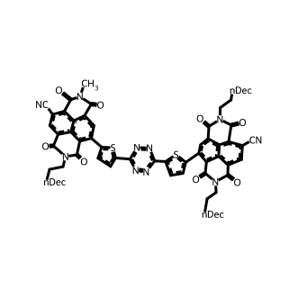 CCCCCCCCCCCCN1C(=O)c2cc(-c3ccc(-c4nnc(-c5ccc(-c6cc7c8c(c(C#N)cc9c8c6C(=O)N(CCCCCCCCCCCC)C9=O)C(=O)N(C)C7=O)s5)nn4)s3)c3c4c(cc(C#N)c(c24)C1=O)C(=O)N(CCCCCCCCCCCC)C3=O